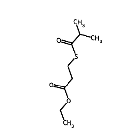 CCOC(=O)CCSC(=O)C(C)C